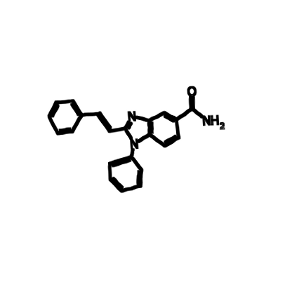 NC(=O)c1ccc2c(c1)nc(C=Cc1ccccc1)n2-c1ccccc1